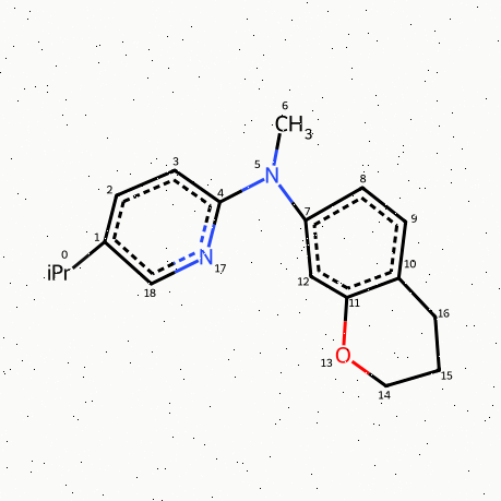 CC(C)c1ccc(N(C)c2ccc3c(c2)OCCC3)nc1